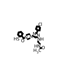 CC(=O)NCCNc1cc(N2CCN(C(=O)c3ccccc3S)CC2)nc(-c2ccc(Cl)cc2)n1